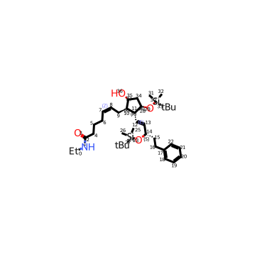 CCNC(=O)CCC/C=C\C[C@@H]1[C@@H](/C=C/[C@H](CCc2ccccc2)O[Si](C)(C)C(C)(C)C)[C@H](O[Si](C)(C)C(C)(C)C)C[C@@H]1O